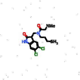 CNCC(=O)N(CCC[SiH3])CC1C(=O)Nc2cc(Cl)c(Cl)cc21